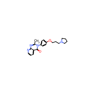 Cc1nc2ncccc2c(=O)n1-c1ccc(OCCCN2CCCC2)cc1